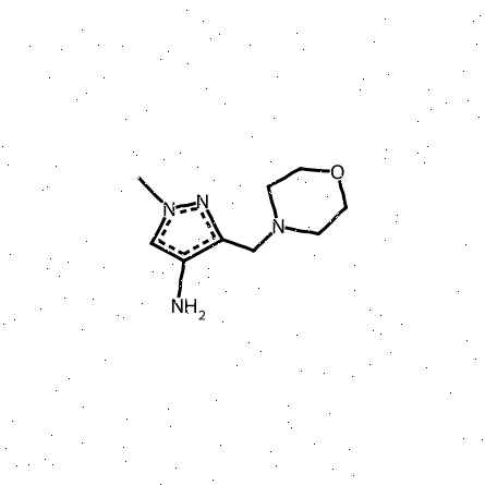 Cn1cc(N)c(CN2CCOCC2)n1